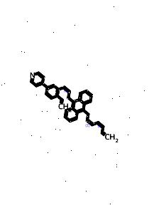 C=C/C=C\C=C/Cc1c2ccccc2c(C/C=C\c2cc(-c3ccncc3)ccc2C=C)c2ccccc12